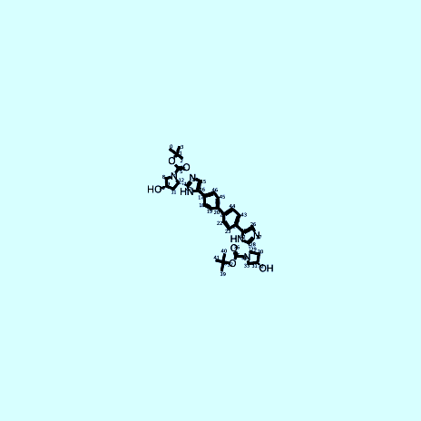 CC(C)(C)OC(=O)N1C[C@H](O)C[C@H]1c1ncc(-c2ccc(-c3ccc(-c4cnc([C@@H]5C[C@@H](O)CN5C(=O)OC(C)(C)C)[nH]4)cc3)cc2)[nH]1